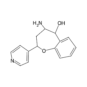 NC1CC(c2ccncc2)Oc2ccccc2C1O